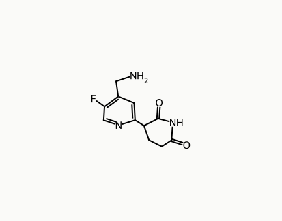 NCc1cc(C2CCC(=O)NC2=O)ncc1F